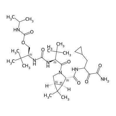 CC(C)NC(=O)OC[C@@H](NC(=O)N[C@H](C(=O)N1C[C@H]2[C@@H]([C@H]1C(=O)NC(CC1CC1)C(=O)C(N)=O)C2(C)C)C(C)(C)C)C(C)(C)C